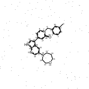 Cc1cccc(Cn2ccc(-c3c[nH]c4ncc(N5CCCOCC5)cc34)cc2=O)c1